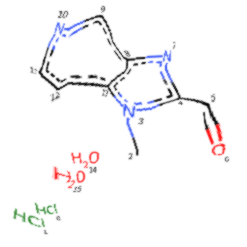 Cl.Cl.Cn1c(C=O)nc2cnccc21.O.O